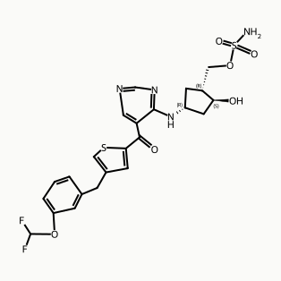 NS(=O)(=O)OC[C@H]1C[C@@H](Nc2ncncc2C(=O)c2cc(Cc3cccc(OC(F)F)c3)cs2)C[C@@H]1O